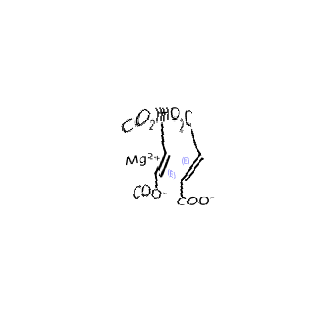 O=C([O-])/C=C/C(=O)O.O=C([O-])/C=C/C(=O)O.[Mg+2]